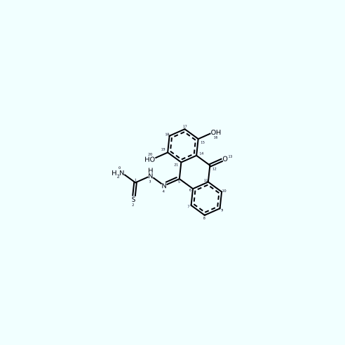 NC(=S)NN=C1c2ccccc2C(=O)c2c(O)ccc(O)c21